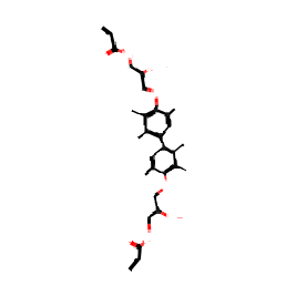 C=CC(=O)OCC(O)COc1c(C)cc(-c2cc(C)c(OCC(O)COC(=O)C=C)c(C)c2C)c(C)c1C